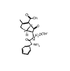 CC1=C(C(=O)O)N2C(=O)[C@@H](NC(=O)[C@H](N)c3ccccc3)[C@H]2SC1.O.[Cl-].[H+]